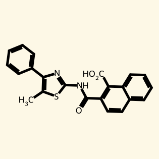 Cc1sc(NC(=O)c2ccc3ccccc3c2C(=O)O)nc1-c1ccccc1